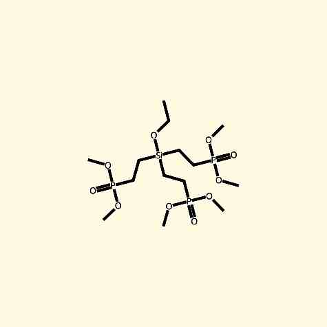 CCO[Si](CCP(=O)(OC)OC)(CCP(=O)(OC)OC)CCP(=O)(OC)OC